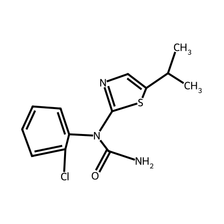 CC(C)c1cnc(N(C(N)=O)c2ccccc2Cl)s1